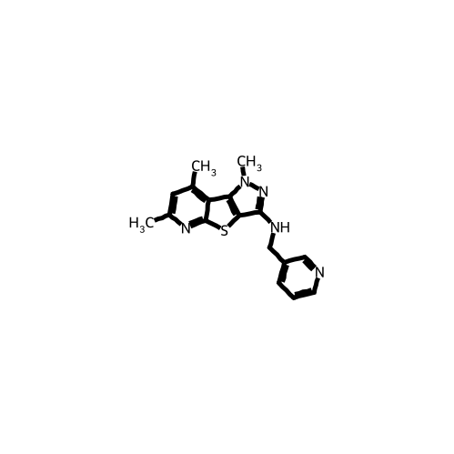 Cc1cc(C)c2c(n1)sc1c(NCc3cccnc3)nn(C)c12